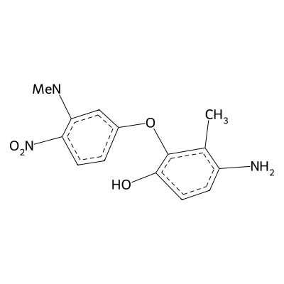 CNc1cc(Oc2c(O)ccc(N)c2C)ccc1[N+](=O)[O-]